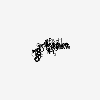 CCCN(CCCNC(=O)c1cn(C2CC2)c2c(Cl)c(N3CCCCCC3)c(F)cc2c1=O)N(COC(=O)C1=C(COC(N)=O)CS[C@H]2N1C(=O)[C@]2(NC(=O)Cc1cccs1)OC)OOC